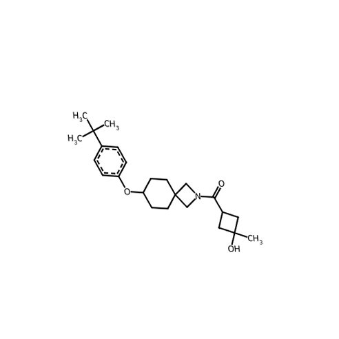 CC1(O)CC(C(=O)N2CC3(CCC(Oc4ccc(C(C)(C)C)cc4)CC3)C2)C1